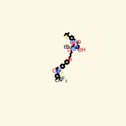 Cc1ccsc1-c1ccc(CNC(=O)[C@@H]2C[C@@H](O)CN2C(=O)[C@@H](NC(=O)CCCCOc2ccc(-c3ccc(N4C(=S)N(c5ccc(C#N)c(C(F)(F)F)c5)C(=O)C4(C)C)cc3)cc2)C(C)(C)C)cc1